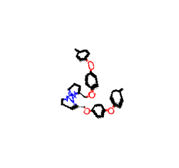 Cc1ccc(Oc2ccc(OC[C@@H]3CCCN3N3CCC[C@H]3COc3ccc(Oc4ccc(C)cc4)cc3)cc2)cc1